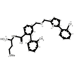 CSCCC(NC(=O)c1ccc(COCc2ccc(-c3ccccc3C(F)(F)F)o2)cc1-c1ccccc1C)C(=O)O